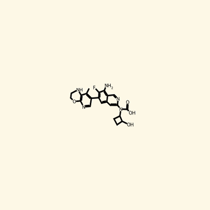 Cc1c(-c2cc3cc(N(C(=O)O)C4CCC4O)ncc3c(N)c2F)cnc2c1NCCO2